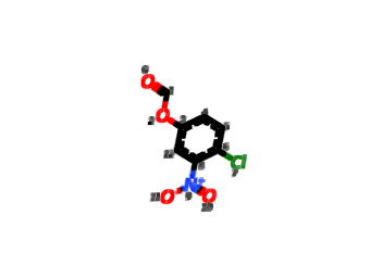 O=COc1ccc(Cl)c([N+](=O)[O-])c1